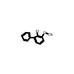 CCc1c(OC#N)cccc1-c1ccccc1